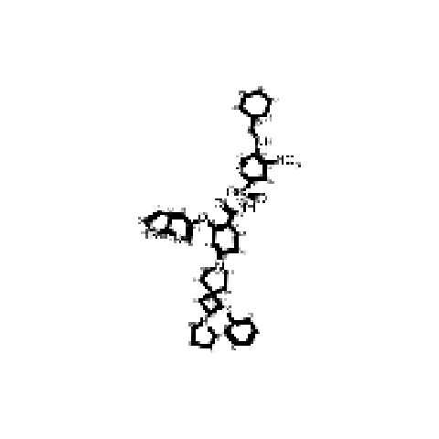 CC(C)c1ccccc1[C@@H]1CCCN1C1CC2(CCN(c3ccc(C(=O)NS(=O)(=O)c4cc([N+](=O)[O-])c(NCC5CCCCC5)cn4)c(Oc4cnc5[nH]ccc5c4)c3)CC2)C1